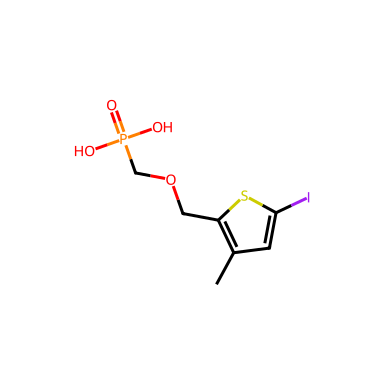 Cc1cc(I)sc1COCP(=O)(O)O